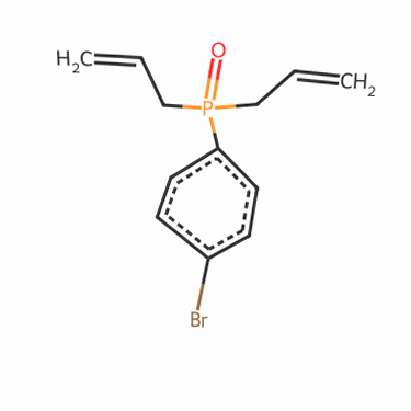 C=CCP(=O)(CC=C)c1ccc(Br)cc1